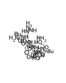 CCCC[C@H](NC(=O)[C@@H](C)CO)C(=O)N[C@H](C(=O)N[C@@H](CC(=O)O)C(=O)N[C@@H](CCCCN)C(=O)N[C@@H](Cc1ccc(O)cc1)C(=O)N[C@@H](CCCNC(=N)N)C(=O)N[C@H](C(N)=O)[C@@H](C)CC)[C@@H](C)O